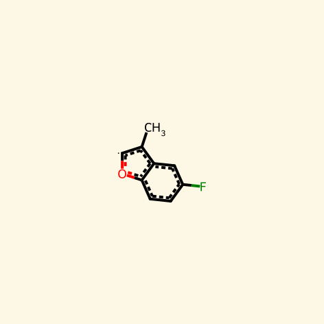 Cc1[c]oc2ccc(F)cc12